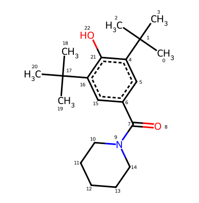 CC(C)(C)c1cc(C(=O)N2CCCCC2)cc(C(C)(C)C)c1O